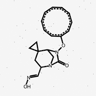 O=C1N2CC(N1Oc1ccccccccc1)C1(CC1)CC2/C=N/O